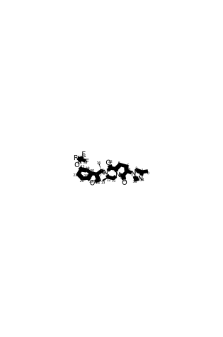 Cc1cn(-c2ccc3n(c2=O)C[C@@H](C)N([C@@H](C)c2coc4ccc(OC(F)(F)F)cc24)C3=O)cn1